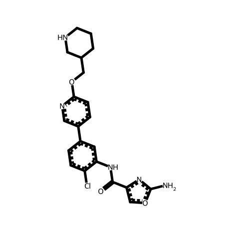 Nc1nc(C(=O)Nc2cc(-c3ccc(OCC4CCCNC4)nc3)ccc2Cl)co1